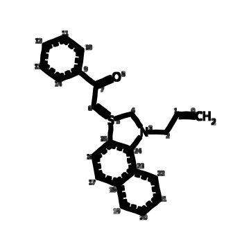 C=CCN1CS(=CC(=O)c2ccccc2)c2ccc3ccccc3c21